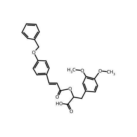 COc1ccc(CC(OC(=O)C=Cc2ccc(OCc3ccccc3)cc2)C(=O)O)cc1OC